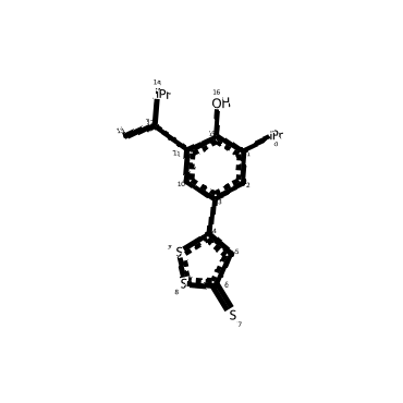 CC(C)c1cc(-c2cc(=S)ss2)cc(C(C)C(C)C)c1O